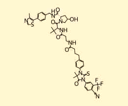 Cc1ncsc1-c1ccc(CNC(=O)[C@@H]2C[C@@H](O)CN2C(=O)C(NC(=O)CCNC(=O)CCCc2ccc(N3C(=S)N(c4ccc(C#N)c(C(F)(F)F)c4)C(=O)C3(C)C)cc2)C(C)(C)C)cc1